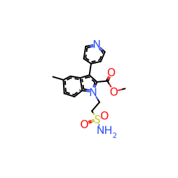 COC(=O)c1c(-c2ccncc2)c2cc(C)ccc2n1CCS(N)(=O)=O